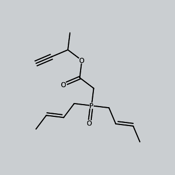 C#CC(C)OC(=O)CP(=O)(CC=CC)CC=CC